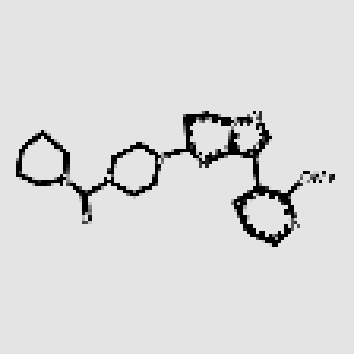 COc1ncccc1-c1cnn2ccc(N3CCN(C(=O)N4CCCCC4)CC3)nc12